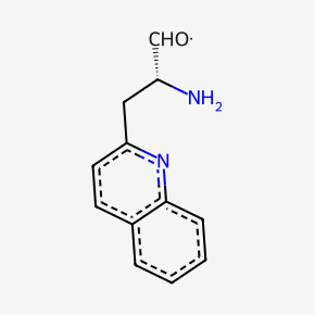 N[C@@H]([C]=O)Cc1ccc2ccccc2n1